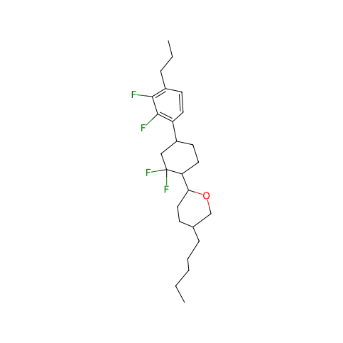 CCCCCC1CCC(C2CCC(c3ccc(CCC)c(F)c3F)CC2(F)F)OC1